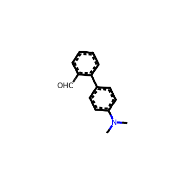 CN(C)c1ccc(-c2ccccc2C=O)cc1